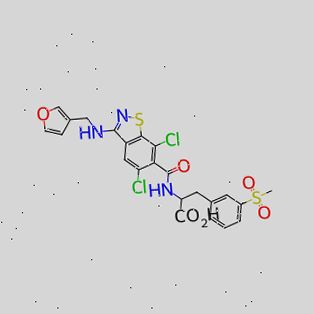 CS(=O)(=O)c1cccc(CC(NC(=O)c2c(Cl)cc3c(NCc4ccoc4)nsc3c2Cl)C(=O)O)c1